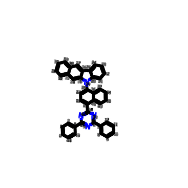 c1ccc(-c2nc(-c3ccccc3)nc(-c3ccc(-n4c5ccccc5c5cc6ccccc6cc54)c4ccccc34)n2)cc1